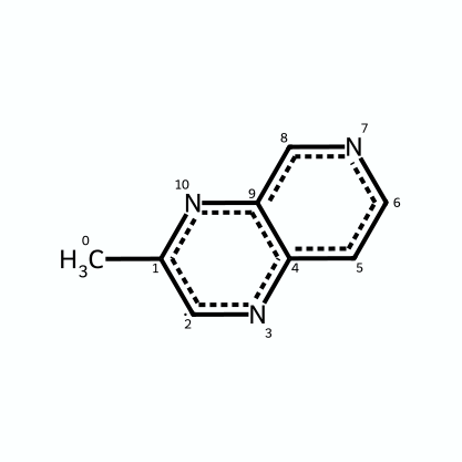 Cc1[c]nc2ccncc2n1